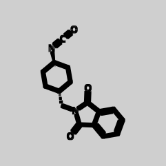 O=C=N[C@H]1CC[C@H](CN2C(=O)c3ccccc3C2=O)CC1